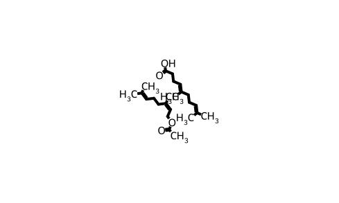 CC(=O)OCC=C(C)CCC=C(C)C.CC(C)=CCC/C(C)=C/CCC(=O)O